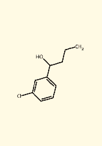 [CH2]CCC(O)c1cccc(Cl)c1